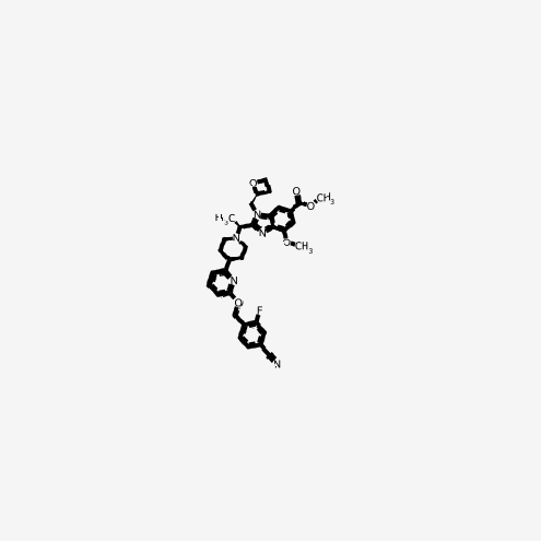 COC(=O)c1cc(OC)c2nc([C@H](C)N3CCC(c4cccc(OCc5ccc(C#N)cc5F)n4)CC3)n(C[C@@H]3CCO3)c2c1